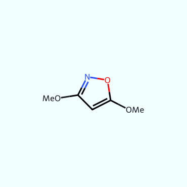 COc1cc(OC)on1